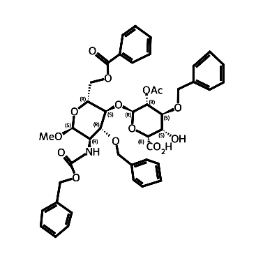 CO[C@H]1O[C@H](COC(=O)c2ccccc2)[C@@H](O[C@@H]2O[C@@H](C(=O)O)[C@@H](O)[C@H](OCc3ccccc3)[C@H]2OC(C)=O)[C@H](OCc2ccccc2)[C@H]1NC(=O)OCc1ccccc1